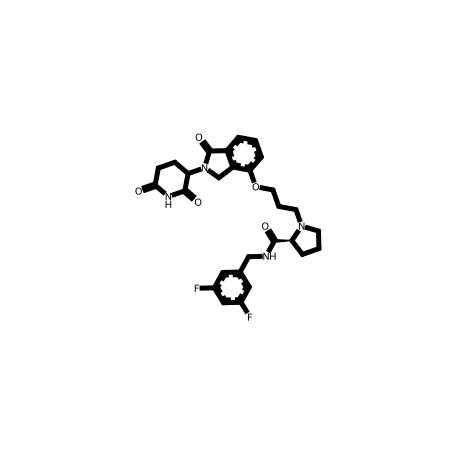 O=C1CCC(N2Cc3c(OCCCN4CCC[C@H]4C(=O)NCc4cc(F)cc(F)c4)cccc3C2=O)C(=O)N1